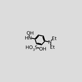 CCN(CC)c1ccc(NO)cc1.O=S(=O)(O)O